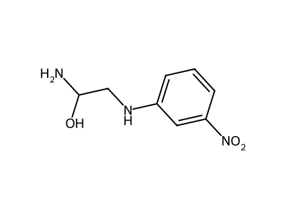 NC(O)CNc1cccc([N+](=O)[O-])c1